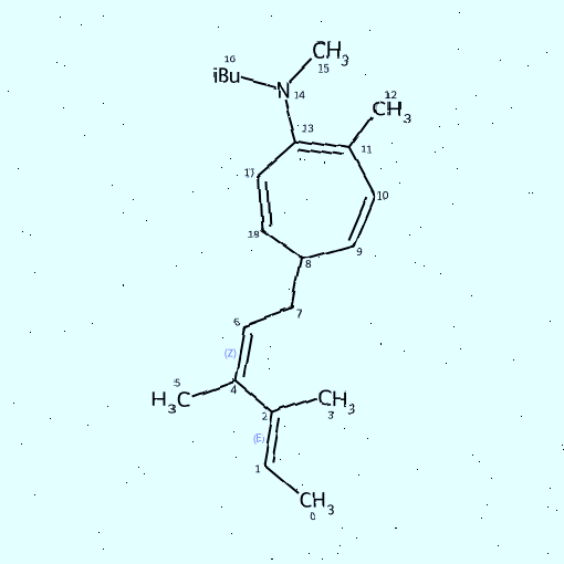 C/C=C(C)/C(C)=C\CC1C=CC(C)=C(N(C)C(C)CC)C=C1